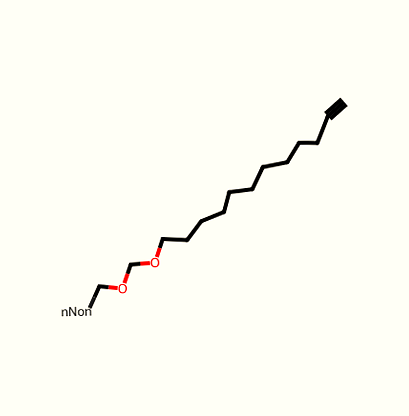 C#CCCCCCCCCCCOCOCCCCCCCCCC